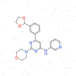 c1cncc(Nc2cc(-c3cccc(C4OCCO4)c3)nc(N3CCOCC3)n2)c1